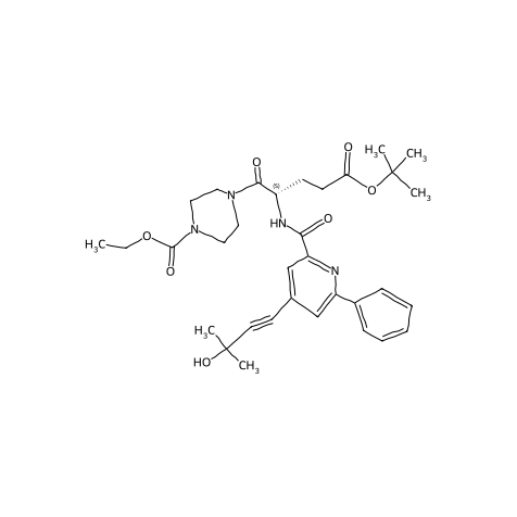 CCOC(=O)N1CCN(C(=O)[C@H](CCC(=O)OC(C)(C)C)NC(=O)c2cc(C#CC(C)(C)O)cc(-c3ccccc3)n2)CC1